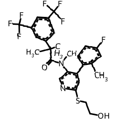 Cc1cc(F)ccc1-c1cc(SCCO)ncc1N(C)C(=O)C(C)(C)c1cc(C(F)(F)F)cc(C(F)(F)F)c1